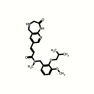 COc1cccc(CN(C)C(=O)/C=C/c2cnc3c(c2)CNCC(=O)N3)c1OCC(C)C